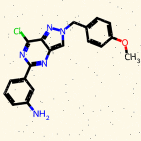 COc1ccc(Cn2cc3nc(-c4cccc(N)c4)nc(Cl)c3n2)cc1